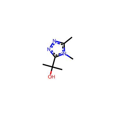 Cc1nnc(C(C)(C)O)n1C